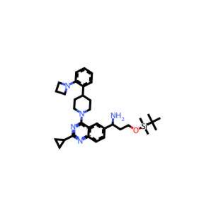 CC(C)(C)[Si](C)(C)OCCC(N)c1ccc2nc(C3CC3)nc(N3CCC(c4ccccc4N4CCC4)CC3)c2c1